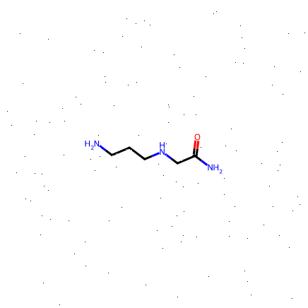 NCCCNCC(N)=O